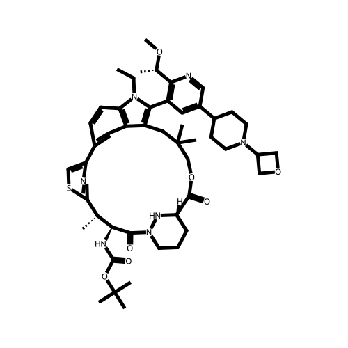 CCn1c(-c2cc(C3CCN(C4COC4)CC3)cnc2[C@H](C)OC)c2c3cc(ccc31)-c1csc(n1)[C@@H](C)[C@H](NC(=O)OC(C)(C)C)C(=O)N1CCC[C@H](N1)C(=O)OCC(C)(C)C2